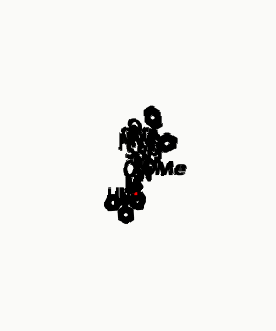 CO/N=C(\C(=O)N[C@@]1(C)S[C@H]2OC(=O)N2S(C(=O)OC(c2ccccc2)c2ccccc2)=S1CCl)c1csc(NC(c2ccccc2)(c2ccccc2)c2ccccc2)n1